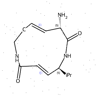 CC(C)[C@H]1/C=C/C(=O)NCC/C=C/[C@H](N)C(=O)N1